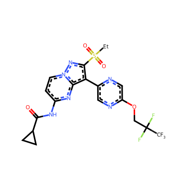 CCS(=O)(=O)c1nn2ccc(NC(=O)C3CC3)nc2c1-c1cnc(OCC(F)(F)C(F)(F)F)cn1